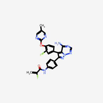 C=C(F)C(=O)Nc1ccc(-c2nn3ncnc(N)c3c2-c2ccc(Oc3ncc(C)cn3)c(F)c2)cc1